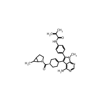 C=C(C)C(=O)Nc1ccc(-c2c(C3=CC[C@H](C(=O)N4CCC5C(C)C54)CC3)c3c(N)ncnc3n2C)cc1